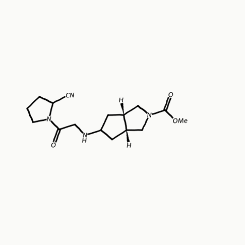 COC(=O)N1C[C@H]2CC(NCC(=O)N3CCCC3C#N)C[C@H]2C1